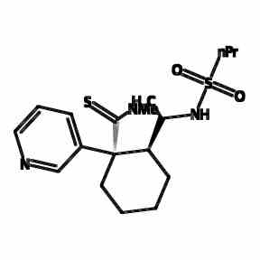 CCCS(=O)(=O)NC(C)[C@H]1CCCC[C@@]1(C(=S)NC)c1cccnc1